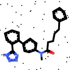 CN(C(=O)CCCCc1ccccc1)c1ccc(-c2ccccc2-c2nnn[nH]2)cc1